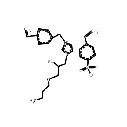 C=Cc1ccc(C[n+]2ccn(CC(O)COCCCC)c2)cc1.C=Cc1ccc(S(=O)(=O)[O-])cc1